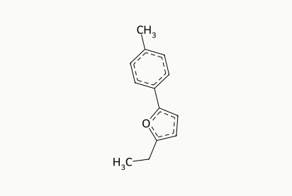 CCc1ccc(-c2ccc(C)cc2)o1